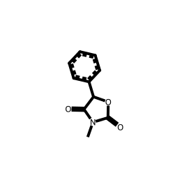 CN1C(=O)OC(c2ccccc2)C1=O